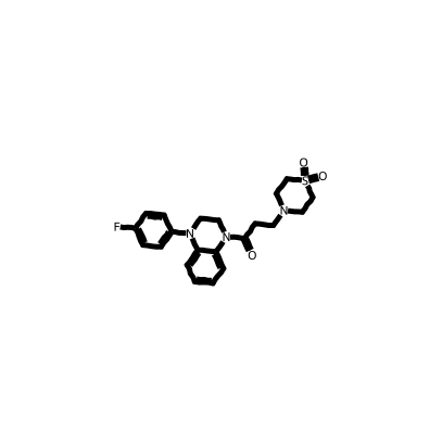 O=C(CCN1CCS(=O)(=O)CC1)N1CCN(c2ccc(F)cc2)c2ccccc21